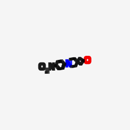 O=C1CC2(CCN(c3ccc([N+](=O)[O-])cc3)CC2)C1